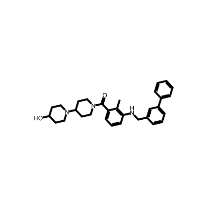 Cc1c(NCc2cccc(-c3ccccc3)c2)cccc1C(=O)N1CCC(N2CCC(O)CC2)CC1